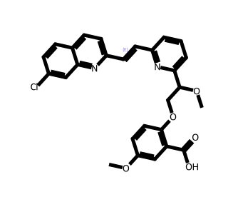 COc1ccc(OCC(OC)c2cccc(/C=C/c3ccc4ccc(Cl)cc4n3)n2)c(C(=O)O)c1